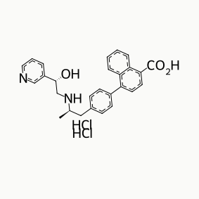 C[C@H](Cc1ccc(-c2ccc(C(=O)O)c3ccccc23)cc1)NC[C@@H](O)c1cccnc1.Cl.Cl